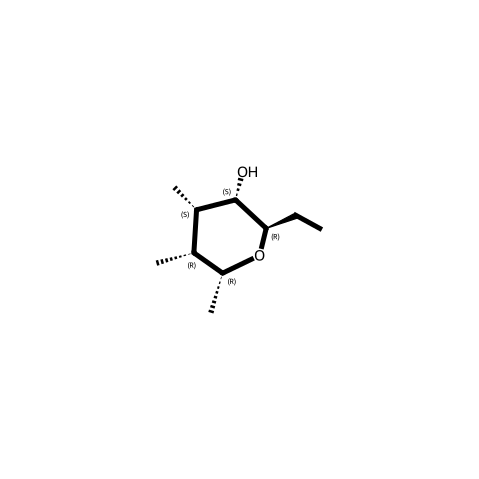 CC[C@H]1O[C@H](C)[C@H](C)[C@H](C)[C@@H]1O